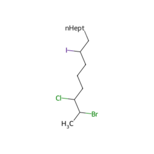 CCCCCCCCC(I)CCCC(Cl)C(C)Br